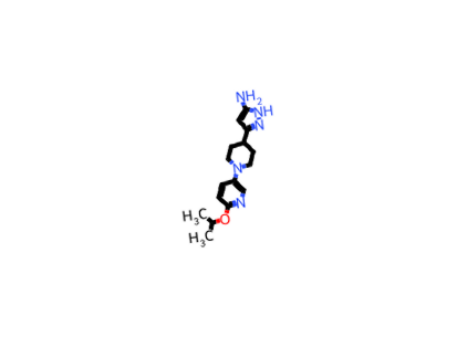 CC(C)Oc1ccc(N2CCC(c3cc(N)[nH]n3)CC2)cn1